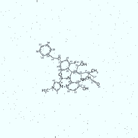 Cn1cnc(C(=O)N2c3cccc(O)c3NC(CC(C)(C)CC=O)=C(CO)C2c2ccc(OCc3ccccc3)cc2F)c1